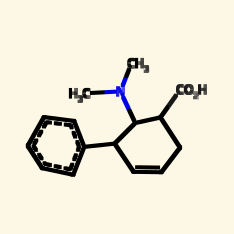 CN(C)C1C(C(=O)O)CC=CC1c1ccccc1